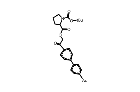 CC(=O)c1ccc(-c2ccc(C(=O)COC(=O)C3CCCN3C(=O)OC(C)(C)C)cc2)cc1